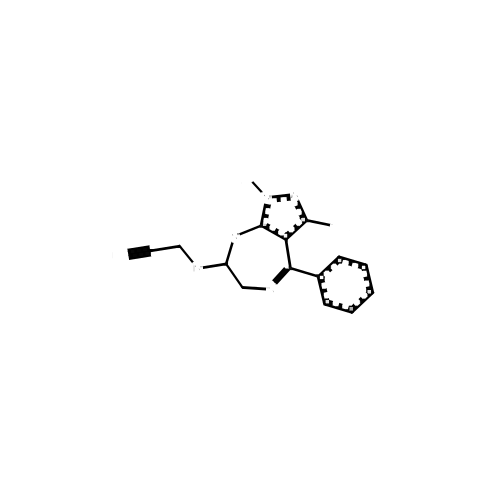 C#CCNC1CN=C(c2ccccc2)c2c(C)nn(C)c2N1